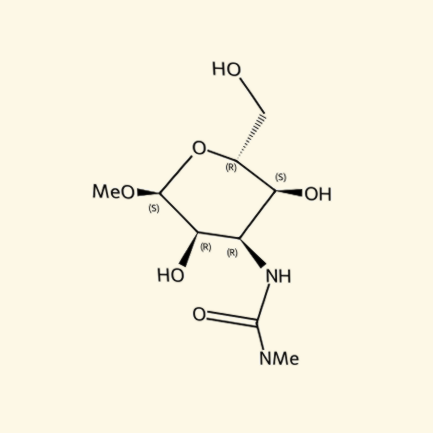 CNC(=O)N[C@H]1[C@@H](O)[C@@H](OC)O[C@H](CO)[C@H]1O